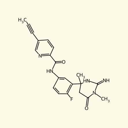 CC#Cc1ccc(C(=O)Nc2ccc(F)c(C3(C)CC(=O)N(C)C(=N)N3)c2)nc1